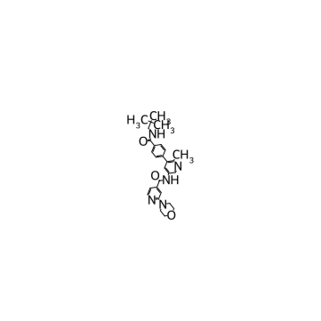 Cc1ncc(NC(=O)c2ccnc(N3CCOCC3)c2)cc1-c1ccc(C(=O)NCC(C)(C)C)cc1